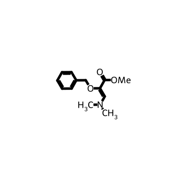 COC(=O)/C(=C/N(C)C)OCc1ccccc1